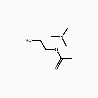 CC(=O)OCCO.CN(C)C